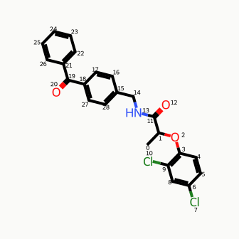 CC(Oc1ccc(Cl)cc1Cl)C(=O)NCc1ccc(C(=O)c2ccccc2)cc1